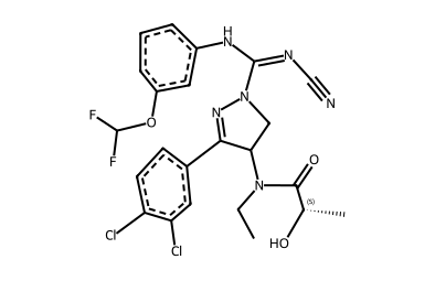 CCN(C(=O)[C@H](C)O)C1CN(C(=NC#N)Nc2cccc(OC(F)F)c2)N=C1c1ccc(Cl)c(Cl)c1